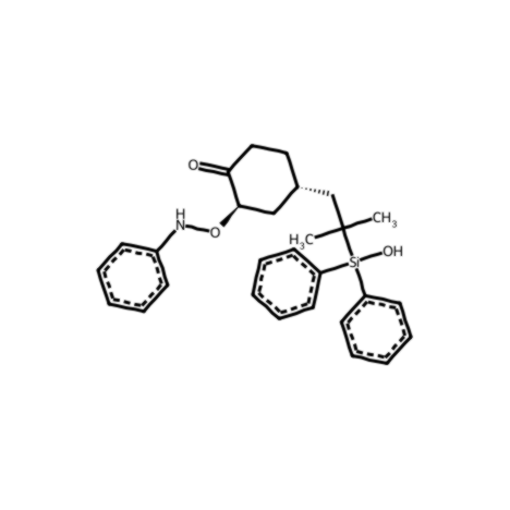 CC(C)(C[C@H]1CCC(=O)[C@H](ONc2ccccc2)C1)[Si](O)(c1ccccc1)c1ccccc1